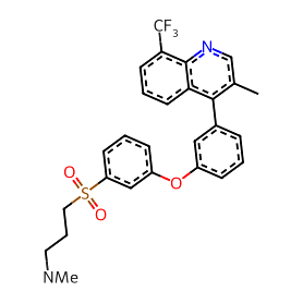 CNCCCS(=O)(=O)c1cccc(Oc2cccc(-c3c(C)cnc4c(C(F)(F)F)cccc34)c2)c1